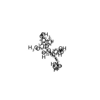 COc1ccc(C(OCC2OC(n3cc(C#CCNC(=O)C(F)(F)F)c4cc([NH+]([O-])O)ccc43)CC2O)(c2ccccc2)c2ccc(OC)cc2)cc1